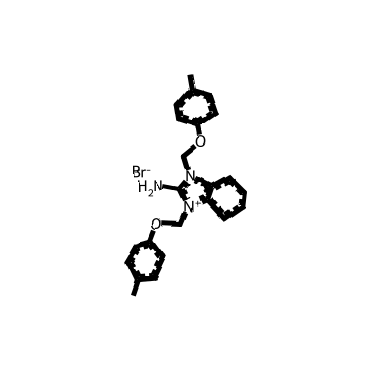 Cc1ccc(OCn2c(N)[n+](COc3ccc(C)cc3)c3ccccc32)cc1.[Br-]